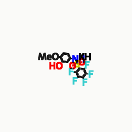 COc1ccc(NS(=O)(=O)c2c(F)c(F)c(F)c(F)c2F)cc1O.[KH]